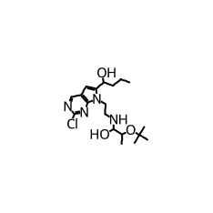 CCCC(O)c1cc2cnc(Cl)nc2n1CCNC(O)C(C)OC(C)(C)C